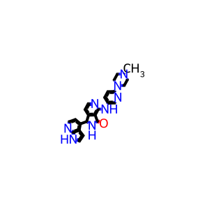 CN1CCN(c2ccc(Nc3nccc4c3C(=O)NC4c3ccnc4[nH]ccc34)cn2)CC1